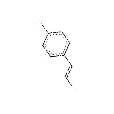 Nc1ccc(C=CC(F)(F)F)cc1